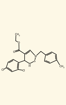 CCOC(=O)C1=CN(Cc2ccc(C)cc2)SNC1c1ccc(Cl)cc1Cl